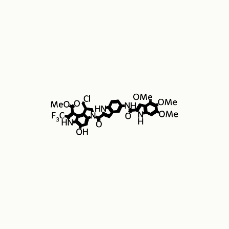 COC(=O)c1c(C(F)(F)F)[nH]c2c(O)cc3c(c12)C(CCl)CN3C(=O)c1cc2cc(NC(=O)c3cc4c(OC)c(OC)c(OC)cc4[nH]3)ccc2[nH]1